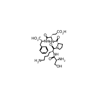 NCCCC[C@H](NC(=O)[C@@H](N)CO)C(=O)N1CCC[C@H]1C(=O)N[C@@H](CCC(=O)O)C(=O)N[C@@H](Cc1ccccc1)C(=O)O